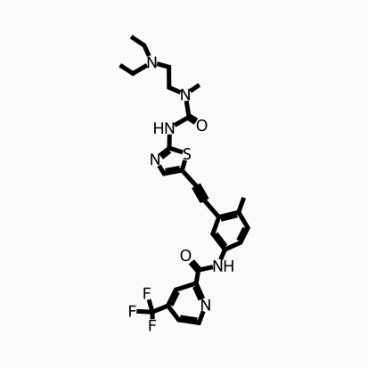 CCN(CC)CCN(C)C(=O)Nc1ncc(C#Cc2cc(NC(=O)c3cc(C(F)(F)F)ccn3)ccc2C)s1